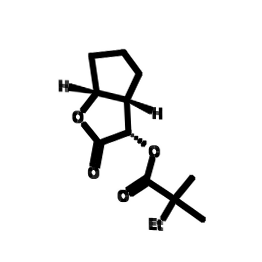 CCC(C)(C)C(=O)O[C@@H]1C(=O)O[C@@H]2CCC[C@H]12